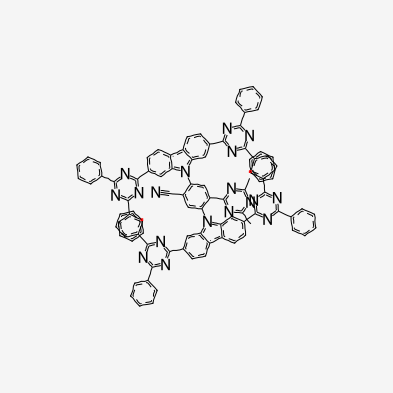 Cc1nc(C)nc(-c2cc(-n3c4cc(-c5nc(-c6ccccc6)nc(-c6ccccc6)n5)ccc4c4ccc(-c5nc(-c6ccccc6)nc(-c6ccccc6)n5)cc43)c(C#N)cc2-n2c3cc(-c4nc(-c5ccccc5)nc(-c5ccccc5)n4)ccc3c3ccc(-c4nc(-c5ccccc5)nc(-c5ccccc5)n4)cc32)n1